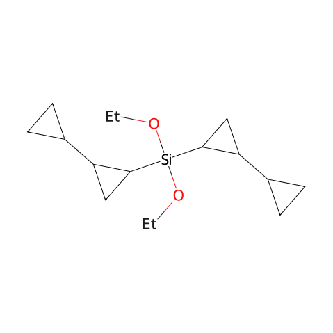 CCO[Si](OCC)(C1CC1C1CC1)C1CC1C1CC1